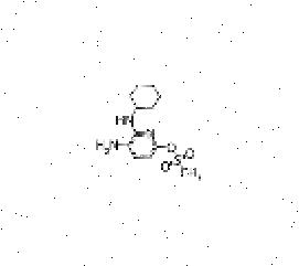 CS(=O)(=O)Oc1ccc(N)c(NC2CCCCC2)n1